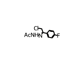 CC(=O)NN=C(CCl)c1ccc(F)cc1